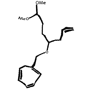 C=CCC(CCC(OC)OC)OCc1ccccc1